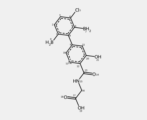 Bc1ccc(Cl)c(B)c1-c1cnc(C(=O)NCC(=O)O)c(O)c1